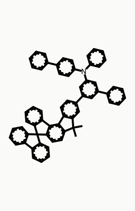 CC1(C)c2cc(-c3cc(-c4ccccc4)cc(N(c4ccccc4)c4ccc(-c5ccccc5)cc4)c3)ccc2-c2c1ccc1c2-c2ccccc2C12c1ccccc1-c1ccccc12